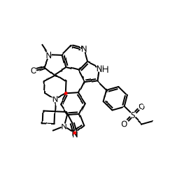 CCS(=O)(=O)c1ccc(-c2[nH]c3ncc4c(c3c2-c2ccc3c(cnn3C)c2)C2(CCN(C3(CC#N)CCC3)CC2)C(=O)N4C)cc1